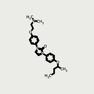 CCCC(C)Oc1ccc(-n2ccn(-c3ccc(OCCN(C)C)cc3)c2=O)cc1